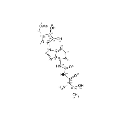 COC[C@H]1O[C@@H](n2cnc3c(NC(=O)NC(=O)[C@@H](N)[C@@H](C)O)ncnc32)[C@H](O)[C@@H]1O